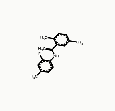 C=C(Nc1ccc(C)cc1F)c1cc(C)ccc1C